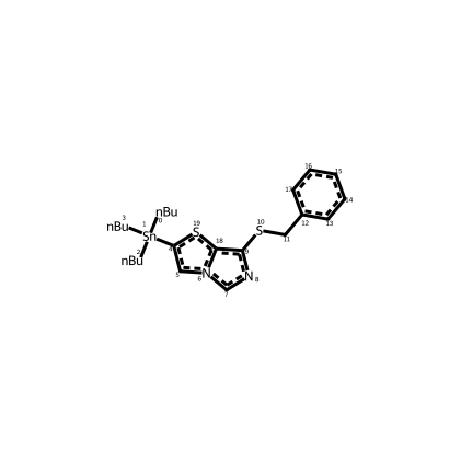 CCC[CH2][Sn]([CH2]CCC)([CH2]CCC)[c]1cn2cnc(SCc3ccccc3)c2s1